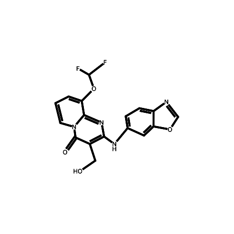 O=c1c(CO)c(Nc2ccc3ncoc3c2)nc2c(OC(F)F)cccn12